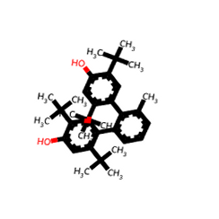 Cc1cccc(-c2cc(C(C)(C)C)c(O)cc2C(C)(C)C)c1-c1cc(C(C)(C)C)c(O)cc1C(C)(C)C